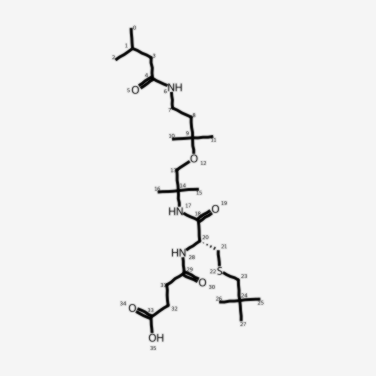 CC(C)CC(=O)NCCC(C)(C)OCC(C)(C)NC(=O)[C@H](CSCC(C)(C)C)NC(=O)CCC(=O)O